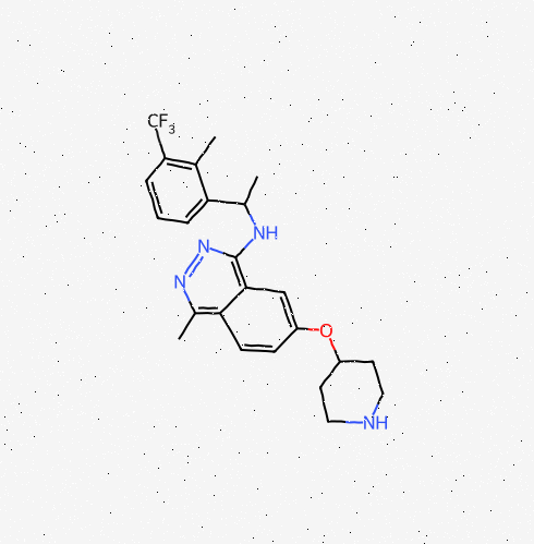 Cc1c(C(C)Nc2nnc(C)c3ccc(OC4CCNCC4)cc23)cccc1C(F)(F)F